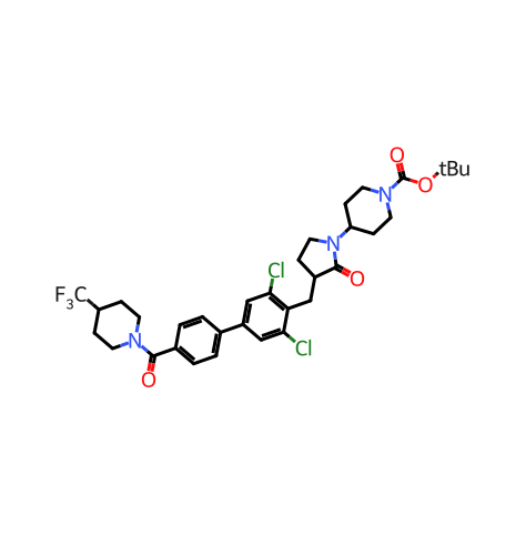 CC(C)(C)OC(=O)N1CCC(N2CCC(Cc3c(Cl)cc(-c4ccc(C(=O)N5CCC(C(F)(F)F)CC5)cc4)cc3Cl)C2=O)CC1